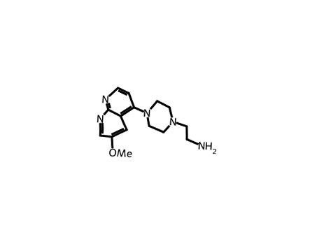 COc1cnc2nccc(N3CCN(CCN)CC3)c2c1